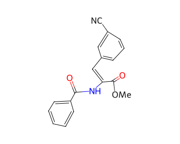 COC(=O)/C(=C\c1cccc(C#N)c1)NC(=O)c1ccccc1